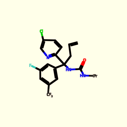 C=CCC(NC(=O)NC(C)C)(c1cc(F)cc(C(F)(F)F)c1)c1ccc(Cl)cn1